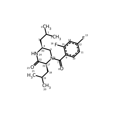 CC(C)C[C@H]1CN(C(=O)c2ccc(F)cc2F)[C@@H](CC(C)C)C(=O)N1